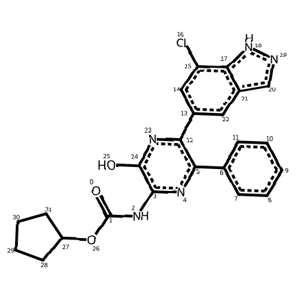 O=C(Nc1nc(-c2ccccc2)c(-c2cc(Cl)c3[nH]ncc3c2)nc1O)OC1CCCC1